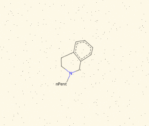 CCCCCN1[C]c2ccccc2CC1